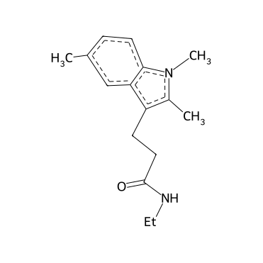 CCNC(=O)CCc1c(C)n(C)c2ccc(C)cc12